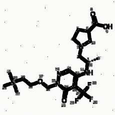 C[C@@H](CN1CCC(C(=O)O)C1)Nc1cnn(COCC[Si](C)(C)C)c(=O)c1C(F)(F)F